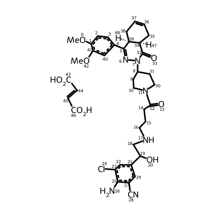 COc1ccc(C2=NN(C3CCN(C(=O)CCCNCC(O)c4cc(Cl)c(N)c(C#N)c4)CC3)C(=O)[C@@H]3CC=CC[C@H]23)cc1OC.O=C(O)C=CC(=O)O